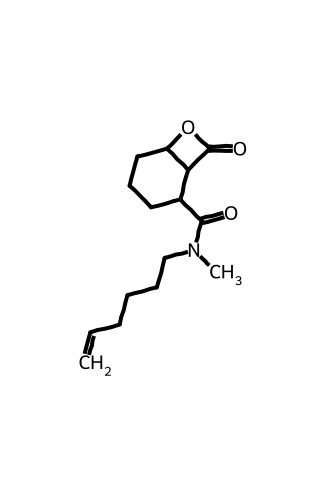 C=CCCCCN(C)C(=O)C1CCCC2OC(=O)C21